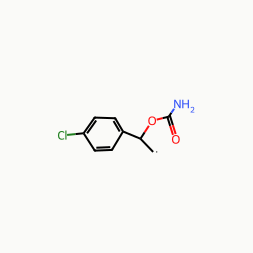 [CH2]C(OC(N)=O)c1ccc(Cl)cc1